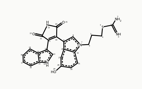 N=C(N)SCCCn1cc(C2=C(c3c[nH]c4ccccc34)C(=O)NC2=O)c2cc(O)ccc21